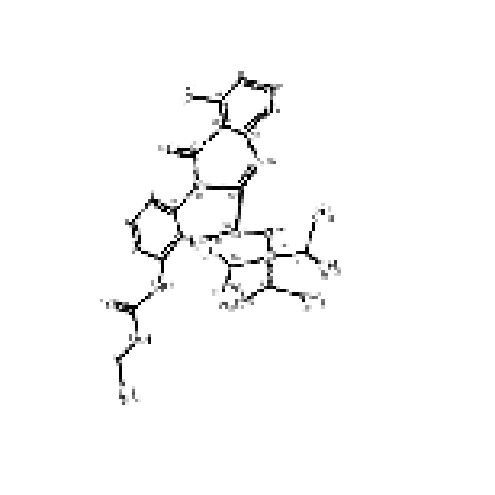 CCNC(=O)Nc1cccc(-n2c([C@H](C)O[Si](C(C)C)(C(C)C)C(C)C)nc3cccc(Cl)c3c2=O)c1